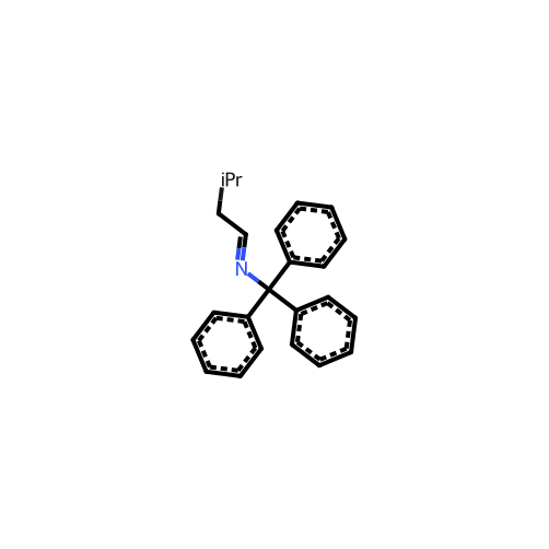 CC(C)C/C=N/C(c1ccccc1)(c1ccccc1)c1ccccc1